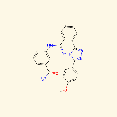 COc1ccc(-c2nnc3c4ccccc4c(Nc4cccc(C(N)=O)c4)nn23)cc1